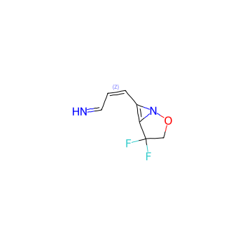 N=C/C=C\C1=C2N1OCC2(F)F